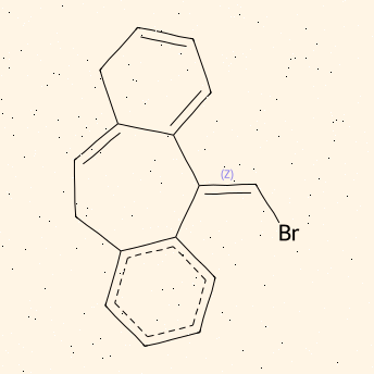 Br/C=C1/C2=CC=CCC2=CCc2ccccc21